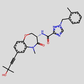 Cc1ccccc1Cn1cnc(C(=O)N[C@H]2COc3ccc(C#CC(C)(C)O)cc3N(C)C2=O)n1